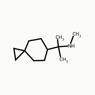 CNC(C)(C)C1CCC2(CC1)CC2